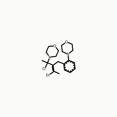 CCC(C)=C(Cc1ccccc1N1CCOCC1)C(C)(Cl)N1CCOCC1